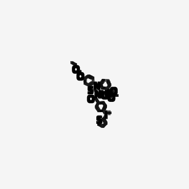 CCOCOc1ccc2nc(NC(=O)c3ccc([I+]c4cccs4)cc3)sc2c1.O=S(=O)([O-])c1ccccc1